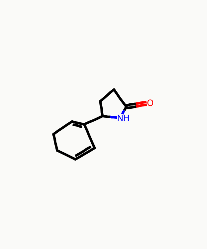 O=C1CCC(C2=CCCC=C2)N1